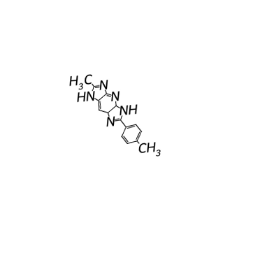 Cc1ccc(C2=NC3C=c4[nH]c(C)nc4=NC3N2)cc1